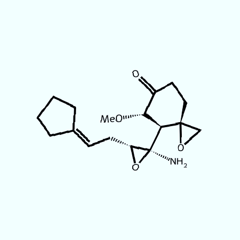 CO[C@@H]1C(=O)CC[C@]2(CO2)[C@H]1[C@@]1(N)O[C@@H]1CC=C1CCCC1